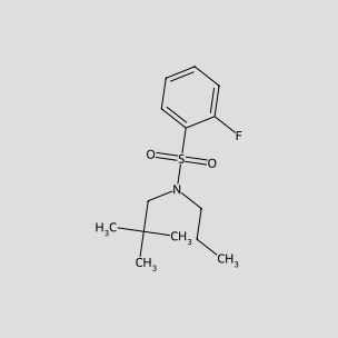 CCCN(CC(C)(C)C)S(=O)(=O)c1ccccc1F